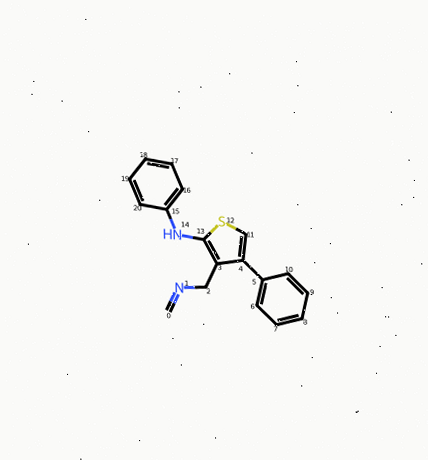 C=NCc1c(-c2ccccc2)csc1Nc1ccccc1